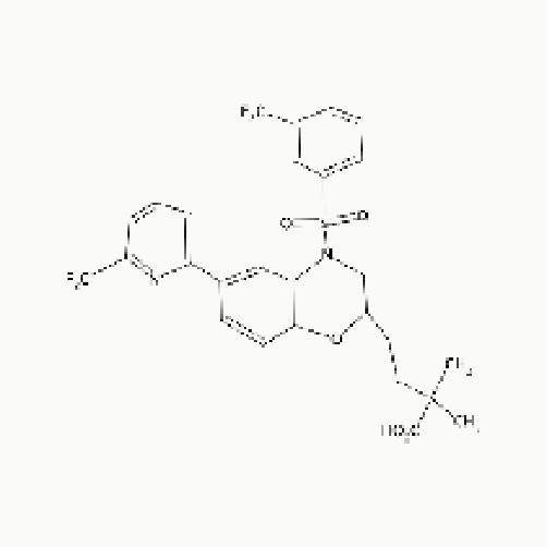 CC(C)(CCC1CN(S(=O)(=O)c2cccc(C(F)(F)F)c2)c2cc(-c3cccc(C(F)(F)F)n3)ccc2O1)C(=O)O